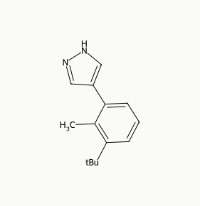 Cc1c(-c2cn[nH]c2)cccc1C(C)(C)C